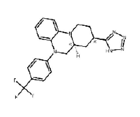 FC(F)(F)c1ccc(N2C[C@@H]3C[C@H](c4nnn[nH]4)CCN3c3ccccc32)cc1